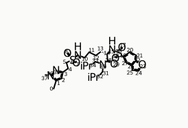 Cc1cc(CCS(=O)(=O)NCCCC[C@H](NS(=O)(=O)c2ccc3occc3c2)C(=O)N(CC(C)C)CC(C)C)nn1C